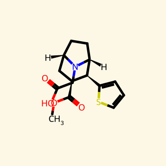 COC(=O)[C@H]1C[C@@H]2CC[C@H]([C@H]1c1cccs1)N2CC(=O)O